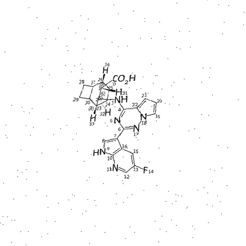 O=C(O)[C@@H]1[C@@H](Nc2nc(-c3c[nH]c4ncc(F)cc34)nn3cccc23)[C@@H]2CC[C@H]1C1CCC12